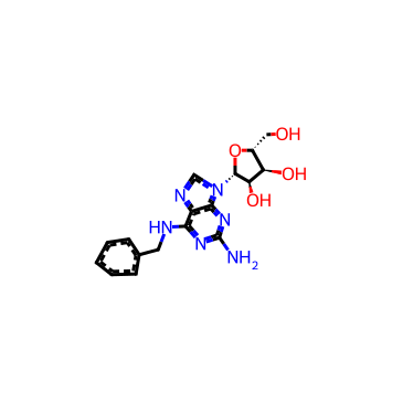 Nc1nc(NCc2ccccc2)c2ncn([C@@H]3O[C@H](CO)[C@@H](O)[C@H]3O)c2n1